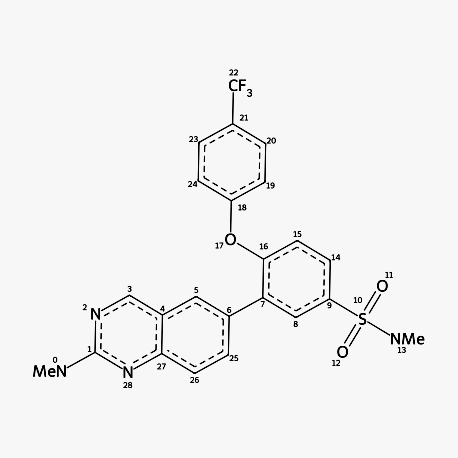 CNc1ncc2cc(-c3cc(S(=O)(=O)NC)ccc3Oc3ccc(C(F)(F)F)cc3)ccc2n1